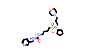 O=C(NCCCCS(=O)(=O)N(CCCN1CCOCC1)C1CCCC1)NCc1cccnc1